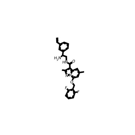 C=Cc1cccc(C(N)CNC(=O)c2c(C)nn3c(OCc4c(F)cccc4F)cc(C)cc23)c1